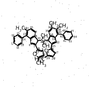 Cc1ccc(C2=Cc3c(ccc(C)c3-c3ccccc3)C2[Si](C)(C)C2C(c3ccc(C)o3)=Cc3c2cc(C)c(C)c3-c2ccccc2)o1